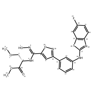 COC[C@H](N/C(=N\O)c1cc(-c2cccc(Nc3nc4ccc(F)cc4s3)c2)no1)C(=O)OC